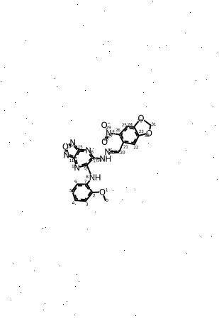 COc1ccccc1Nc1nc2nonc2nc1NN=Cc1cc2c(cc1[N+](=O)[O-])OCO2